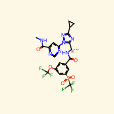 CNC(=O)c1cc(-n2nc(C3CC3)nc2[C@H](C)NC(=O)c2cc(OC(F)(F)F)cc(S(=O)(=O)C(F)(F)F)c2)ncn1